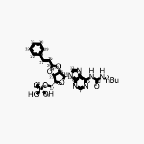 CCCCNC(=O)Nc1ncnc2c1ncn2[C@@H]1O[C@H](COP(=O)(O)O)C2OC(/C=C/c3ccccc3)OC21